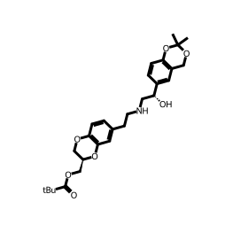 CC1(C)OCc2cc([C@H](O)CNCCc3ccc4c(c3)O[C@@H](COC(=O)C(C)(C)C)CO4)ccc2O1